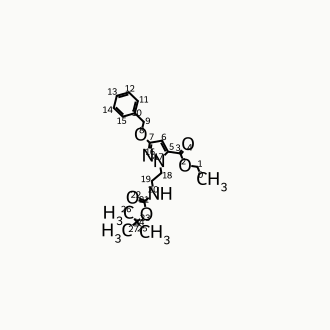 CCOC(=O)c1cc(OCc2ccccc2)nn1CCNC(=O)OC(C)(C)C